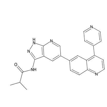 CC(C)C(=O)Nc1n[nH]c2ncc(-c3ccc4nccc(-c5ccncc5)c4c3)cc12